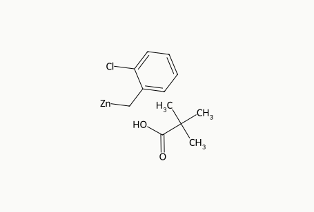 CC(C)(C)C(=O)O.Clc1ccccc1[CH2][Zn]